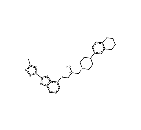 Cc1nnc(-c2cc3c(OC[C@@H](O)CN4CCC(c5ccc6c(c5)CCCS6)CC4)cccc3o2)o1